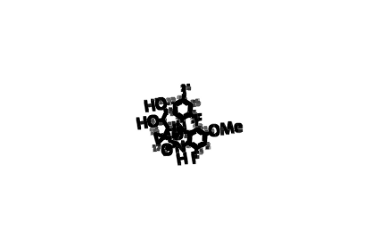 COc1cc(F)c(NS(=O)(=O)C2(CC(O)CO)CC2)c(Nc2ccc(I)cc2F)c1